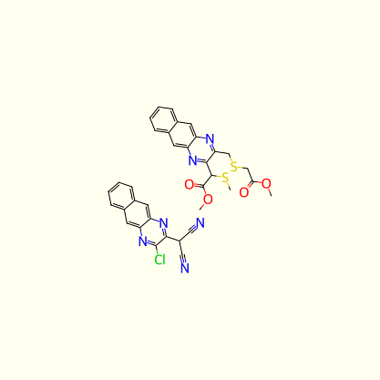 COC(=O)CSCc1nc2cc3ccccc3cc2nc1C(SC)C(=O)OC.N#CC(C#N)c1nc2cc3ccccc3cc2nc1Cl